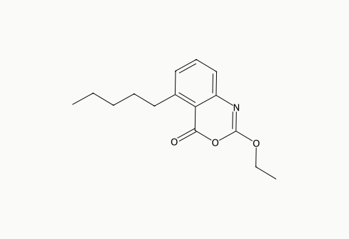 CCCCCc1cccc2nc(OCC)oc(=O)c12